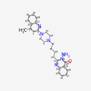 Cc1cc(N2CCN(CCCCc3nc4ccccc4c(=O)n3N)CC2)nc2ccccc12